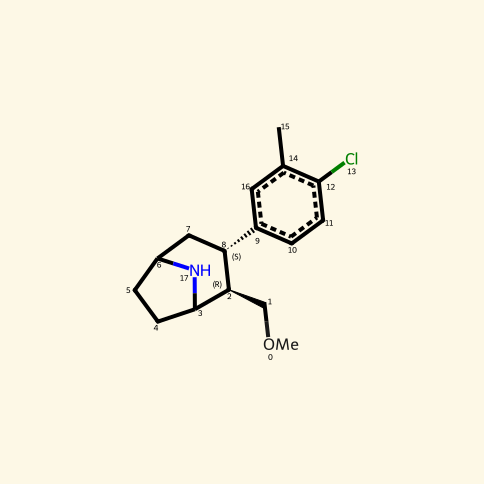 COC[C@H]1C2CCC(C[C@@H]1c1ccc(Cl)c(C)c1)N2